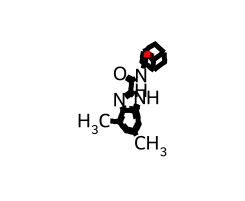 Cc1cc(C)c2nc(C(=O)NC3=C4C5CC(C3)CC4C5)[nH]c2c1